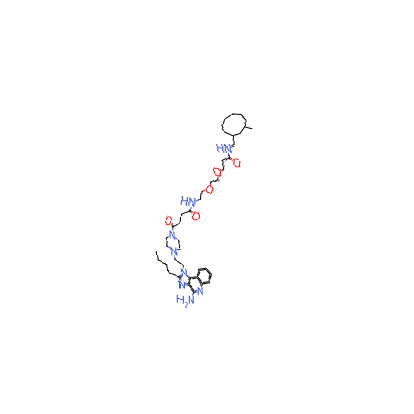 CCCCc1nc2c(N)nc3ccccc3c2n1CCN1CCN(C(=O)CCC(=O)NCCOCCOCCC(=O)NCC2CCCCCCC(C)C2)CC1